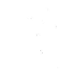 COS(=O)(=O)[O-].Cc1scc[n+]1C